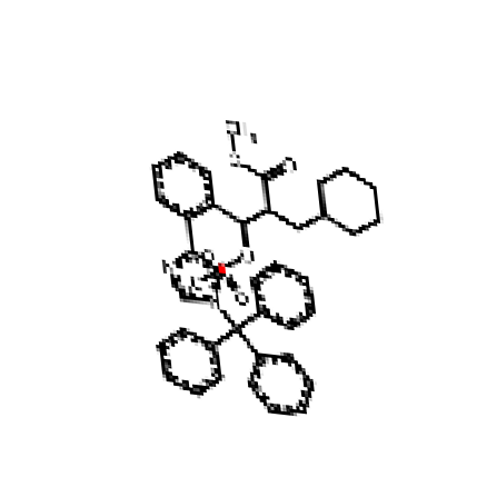 COC(=O)C(CC1CCCCC1)C(OS(C)(=O)=O)c1ccccc1-c1cn(C(c2ccccc2)(c2ccccc2)c2ccccc2)cn1